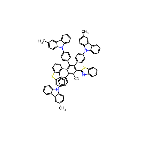 Cc1ccc2c(c1)c1ccccc1n2-c1ccc(-c2c(C#N)c(-c3nc4ccccc4s3)c(-c3ccc(-n4c5ccccc5c5cc(C)ccc54)cc3)c(-c3ccc(-n4c5ccccc5c5cc(C)ccc54)cc3)c2-c2cccc3sc4ccccc4c23)cc1